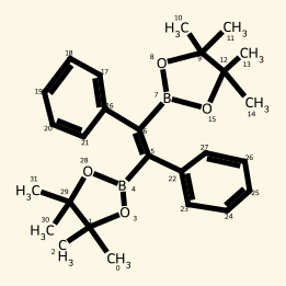 CC1(C)OB(/C(=C(/B2OC(C)(C)C(C)(C)O2)c2ccccc2)c2ccccc2)OC1(C)C